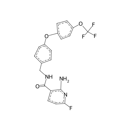 Nc1nc(F)ccc1C(=O)NCc1ccc(Oc2ccc(OC(F)(F)F)cc2)cc1